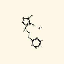 Cc1ncn(OCCc2ccccc2)c1C.I